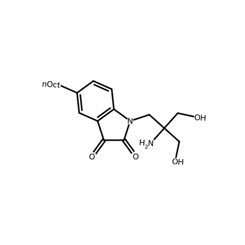 CCCCCCCCc1ccc2c(c1)C(=O)C(=O)N2CC(N)(CO)CO